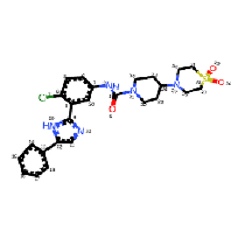 O=C(Nc1ccc(Cl)c(-c2ncc(-c3ccccc3)[nH]2)c1)N1CCC(N2CCS(=O)(=O)CC2)CC1